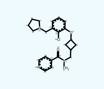 CN(CC1CC(Oc2cccc(CN3CCCC3)c2Cl)C1)C(=O)c1ccncc1